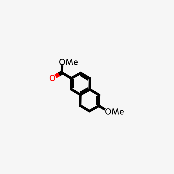 COC(=O)c1ccc2c(c1)CCC(OC)=C2